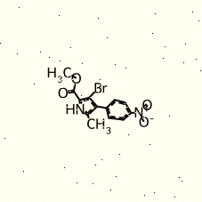 COC(=O)c1[nH]c(C)c(-c2ccc([N+](=O)[O-])cc2)c1Br